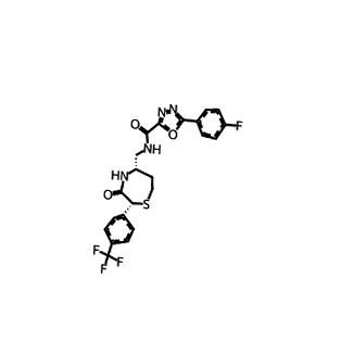 O=C(NC[C@@H]1CCS[C@H](c2ccc(C(F)(F)F)cc2)C(=O)N1)c1nnc(-c2ccc(F)cc2)o1